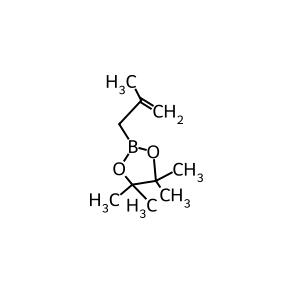 C=C(C)CB1OC(C)(C)C(C)(C)O1